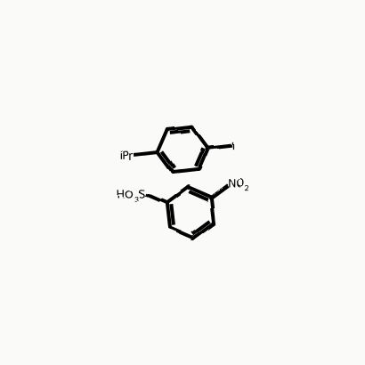 CC(C)c1ccc(I)cc1.O=[N+]([O-])c1cccc(S(=O)(=O)O)c1